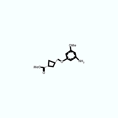 COc1cc(N)cc(OC[C@H]2C[C@@H](C(=O)OC)C2)c1